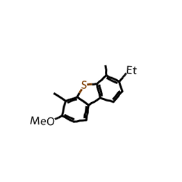 CCc1ccc2c(sc3c(C)c(OC)ccc32)c1C